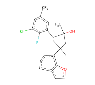 CC(C)(CC(O)(Cc1cc(C(F)(F)F)cc(Cl)c1F)C(F)(F)F)c1cccc2ccoc12